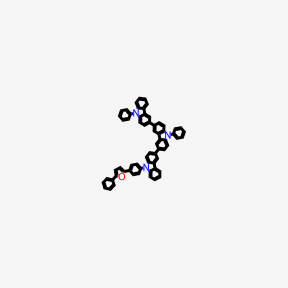 c1ccc(-c2ccc(-c3ccc(-n4c5ccccc5c5cc(-c6ccc7c(c6)c6cc(-c8ccc9c(c8)c8ccccc8n9-c8ccccc8)ccc6n7-c6ccccc6)ccc54)cc3)o2)cc1